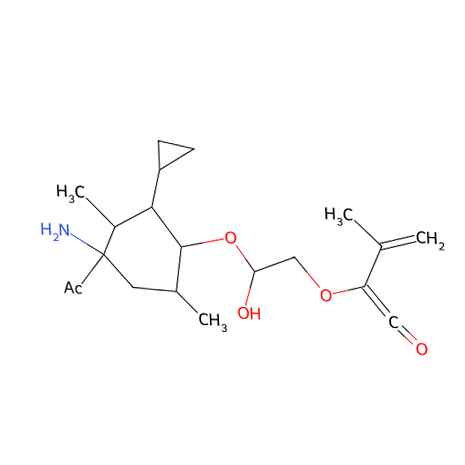 C=C(C)C(=C=O)OCC(O)OC1C(C)CC(N)(C(C)=O)C(C)C1C1CC1